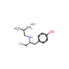 CC(C)CN[C@H](CCl)Cc1ccc(O)cc1.Cl